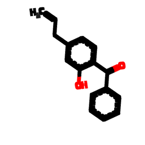 C=CCc1ccc(C(=O)c2ccccc2)c(O)c1